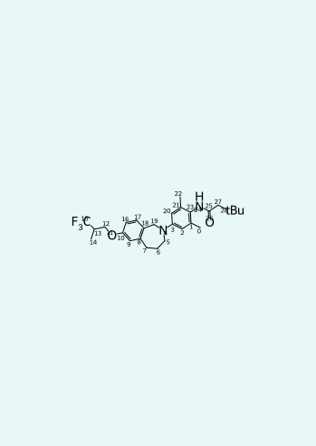 Cc1cc(N2CCCc3cc(OCC(C)C(F)(F)F)ccc3C2)cc(C)c1NC(=O)CC(C)(C)C